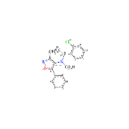 Cc1noc(-c2ccccc2)c1N(C(=O)O)[C@H](C)c1ccccc1Cl